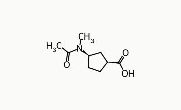 CC(=O)N(C)[C@@H]1CC[C@H](C(=O)O)C1